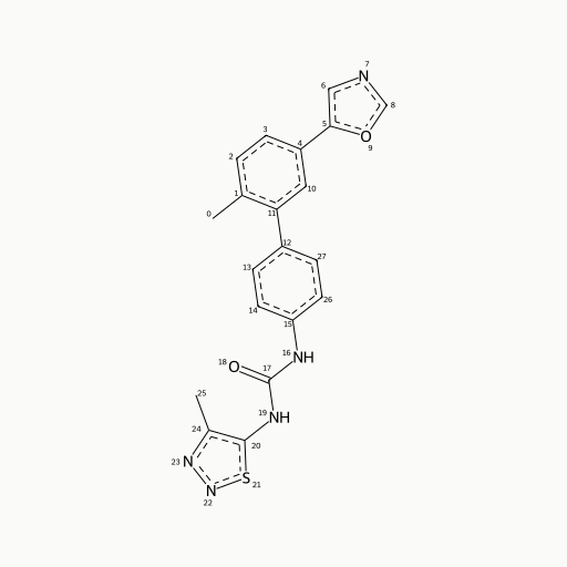 Cc1ccc(-c2cnco2)cc1-c1ccc(NC(=O)Nc2snnc2C)cc1